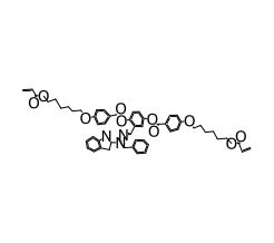 C=CC(=O)OCCCCCCOc1ccc(C(=O)Oc2ccc(OC(=O)c3ccc(OCCCCCCOC(=O)C=C)cc3)c(/C=N/N(Cc3ccccc3)C3=Nc4ccccc4C3)c2)cc1